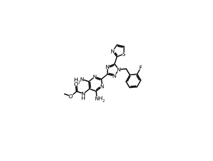 COC(=O)Nc1c(N)nc(-c2nc(-c3nccs3)n(Cc3ccccc3F)n2)nc1N